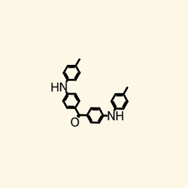 Cc1ccc(Nc2ccc(C(=O)c3ccc(Nc4ccc(C)cc4)cc3)cc2)cc1